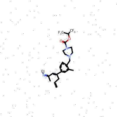 C=CC/C(=C\C(C)=N/CC)c1ccc(CN2CCN(C(=O)OC(C(F)(F)F)C(F)(F)F)CC2)c(C)c1